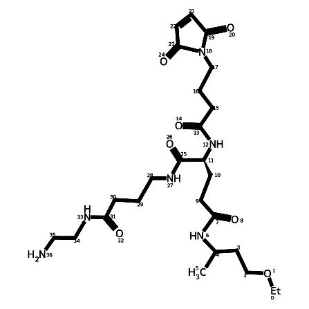 CCOCCC(C)NC(=O)CC[C@H](NC(=O)CCCN1C(=O)C=CC1=O)C(=O)NCCCC(=O)NCCN